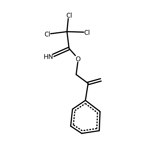 C=C(COC(=N)C(Cl)(Cl)Cl)c1ccccc1